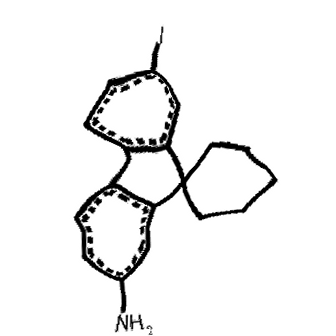 Nc1ccc2c(c1)C1(CCCCC1)c1cc(I)ccc1-2